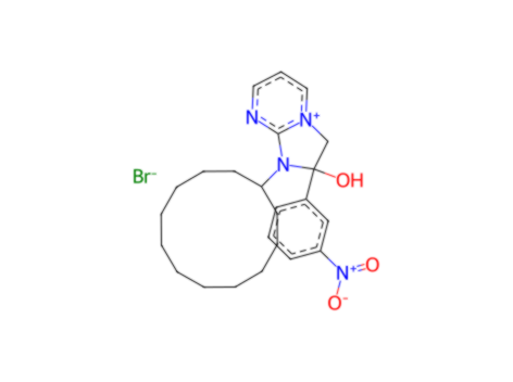 O=[N+]([O-])c1cccc(C2(O)C[n+]3cccnc3N2C2CCCCCCCCCCC2)c1.[Br-]